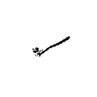 CC#CC#CC#CC#CC#CC#CC#CC#CC(C)C(=O)Nc1cc[n+](C)cc1